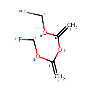 C=C(OCF)OC(=C)OCF